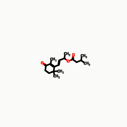 CC1=C(C=CC(C)OC(=O)CC(C)C)C(C)(C)CCC1=O